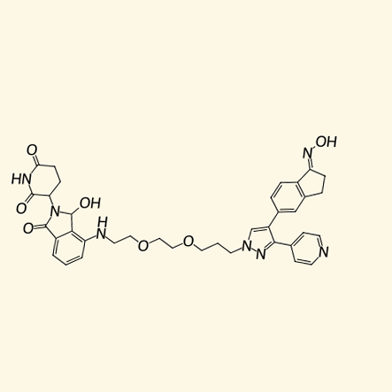 O=C1CCC(N2C(=O)c3cccc(NCCOCCOCCCn4cc(-c5ccc6c(c5)CC/C6=N\O)c(-c5ccncc5)n4)c3C2O)C(=O)N1